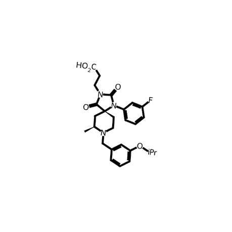 CC(C)Oc1cccc(CN2CC[C@@]3(C[C@@H]2C)C(=O)N(CCC(=O)O)C(=O)N3c2cccc(F)c2)c1